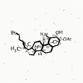 CC(=O)O[C@@H]1CC2CC[C@H]3[C@@H]4CC[C@H]([C@H](C)CCCC(C)C)[C@@]4(C)CC[C@@H]3[C@@]2(C)[C@@H](N)[C@@H]1O